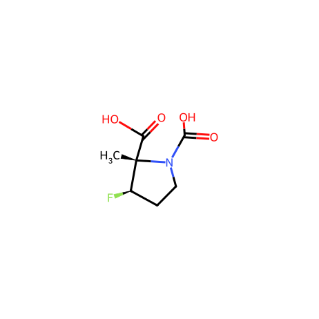 C[C@]1(C(=O)O)[C@H](F)CCN1C(=O)O